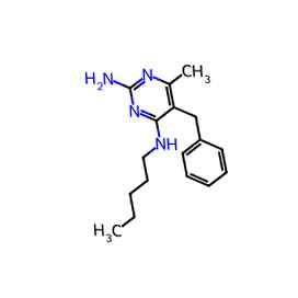 CCCCCNc1nc(N)nc(C)c1Cc1ccccc1